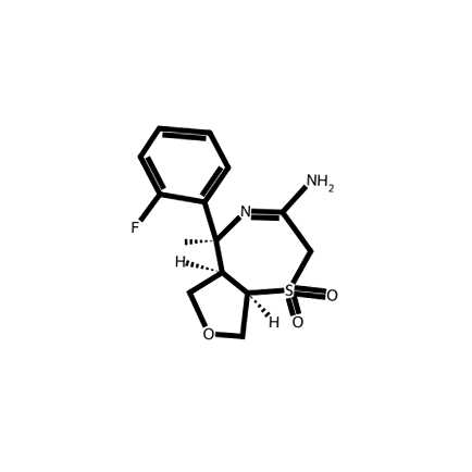 C[C@]1(c2ccccc2F)N=C(N)CS(=O)(=O)[C@H]2COC[C@H]21